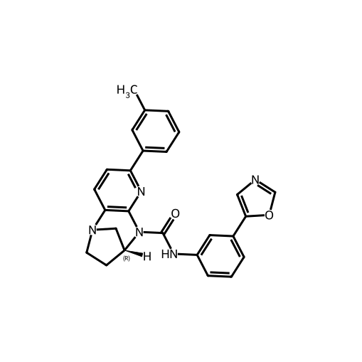 Cc1cccc(-c2ccc3c(n2)N(C(=O)Nc2cccc(-c4cnco4)c2)[C@@H]2CCN3C2)c1